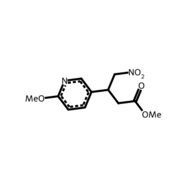 COC(=O)CC(C[N+](=O)[O-])c1ccc(OC)nc1